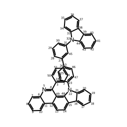 c1ccc(-c2nc3ccccc3c3ccc4c5ccccc5n(-c5ccc(-c6cccc(-n7c8ccccc8c8ccccc87)c6)cc5)c4c23)cc1